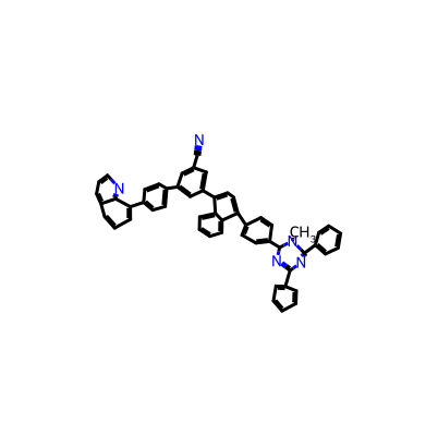 CN1C(c2ccccc2)=NC(c2ccccc2)=NC1c1ccc(-c2ccc(-c3cc(C#N)cc(-c4ccc(-c5cccc6cccnc56)cc4)c3)c3ccccc23)cc1